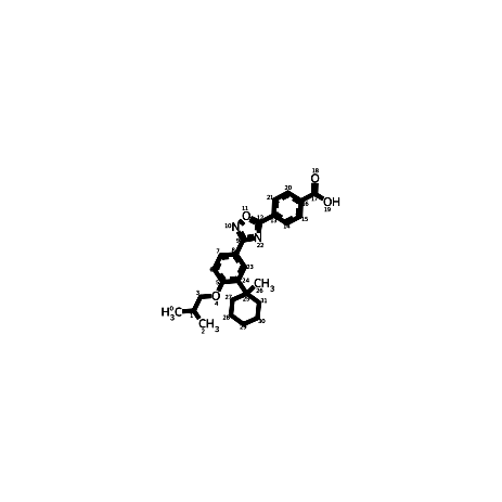 CC(C)COc1ccc(-c2noc(-c3ccc(C(=O)O)cc3)n2)cc1C1(C)CCCCC1